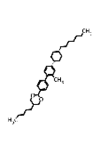 CCCCCCC[C@H]1CC[C@H](c2ccc(-c3ccc(C4OCC(CCCCC)CO4)cc3)c(C)c2)CC1